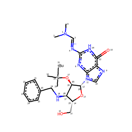 CN(C)/C=N/c1nc2c(ncn2[C@@H]2O[C@H](CO)[C@@H](NCc3ccccc3)[C@H]2O[Si](C)(C)C(C)(C)C)c(=O)[nH]1